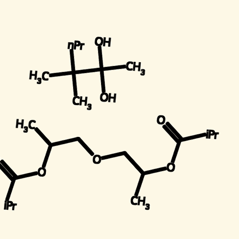 CC(COCC(C)OC(=O)C(C)C)OC(=O)C(C)C.CCCC(C)(C)C(C)(O)O